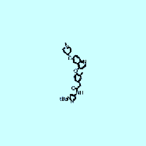 Cc1cc(CC(=O)Nc2cnn(C(C)(C)C)c2)ccc1Oc1ccnc2ccc(OC3CCN(C)CC3)cc12